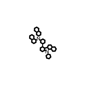 c1ccc(-n2c3cccc(-c4cccc(N(c5ccc6ccccc6c5)c5cccc6ccccc56)c4)c3c3ccc4ccccc4c32)cc1